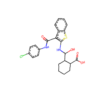 O=C(Nc1ccc(Cl)cc1)c1c(NC(O)C2CCCCC2C(=O)O)sc2ccccc12